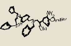 CCCCOc1ccc(C(O)CN(CCc2ccc(N(Cc3ccccc3)CC(O)c3ccccc3)cc2)Cc2ccccc2)cc1N